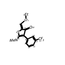 CCOC=C1SC(NC)=C(c2cccc(C(F)(F)F)c2)C1=O